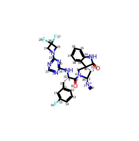 C#[N+][C@@H]1C[C@@]2(CN1C(=O)[C@H](Cc1cccc(F)c1)Nc1ncnc(N3CC(F)(F)C3)n1)C(=O)Nc1ccccc12